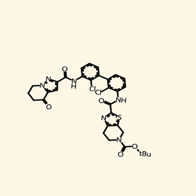 CC(C)(C)OC(=O)N1CCc2nc(C(=O)Nc3cccc(-c4cccc(NC(=O)c5cc6n(n5)CCCC6=O)c4Cl)c3Cl)sc2C1